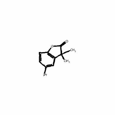 CC(C)c1ccc2c(c1)C(C)(C)C(=O)O2